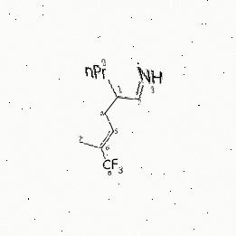 CCCC(C=N)C/C=C(\C)C(F)(F)F